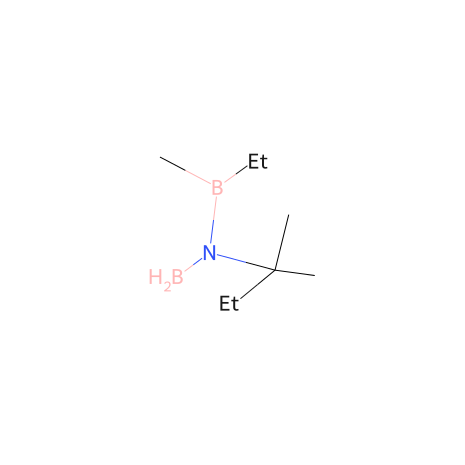 BN(B(C)CC)C(C)(C)CC